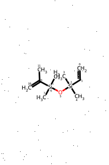 C=C[Si](C)(C)O[Si](C)(C)C(=C)C